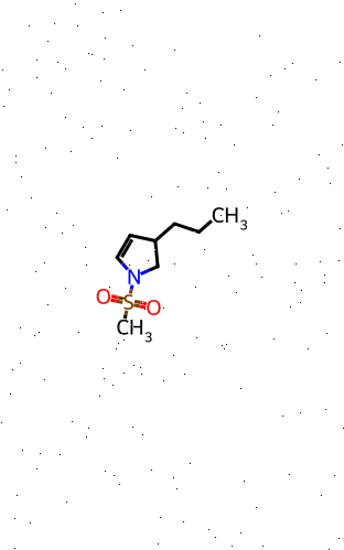 CCCC1C=CN(S(C)(=O)=O)C1